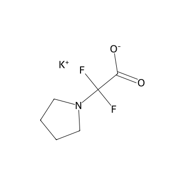 O=C([O-])C(F)(F)N1CCCC1.[K+]